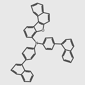 c1ccc2c(-c3ccc(N(c4ccc(-c5cccc6ccccc56)cc4)c4cccc5c4oc4ccc6ccccc6c45)cc3)cccc2c1